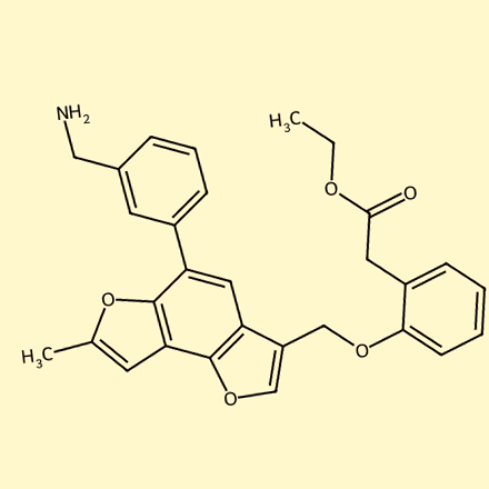 CCOC(=O)Cc1ccccc1OCc1coc2c1cc(-c1cccc(CN)c1)c1oc(C)cc12